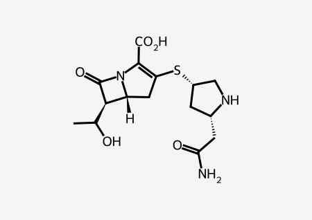 CC(O)[C@H]1C(=O)N2C(C(=O)O)=C(S[C@@H]3CN[C@H](CC(N)=O)C3)C[C@H]12